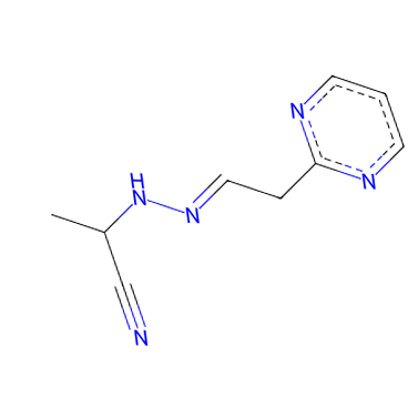 CC(C#N)NN=CCc1ncccn1